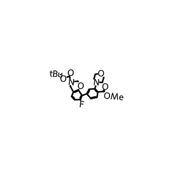 COC(=O)c1ccc(-c2c(F)ccc3c2OCN(C(=O)OC(C)(C)C)C3)cc1N1CCOCC1